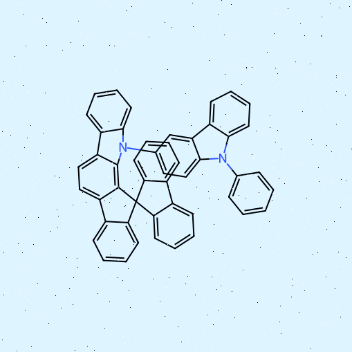 c1ccc(-n2c3ccccc3c3cc(-n4c5ccccc5c5ccc6c(c54)C4(c5ccccc5-c5ccccc54)c4ccccc4-6)ccc32)cc1